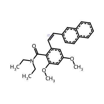 CCN(CC)C(=O)c1c(/C=C\c2ccc3ccccc3c2)cc(OC)cc1OC